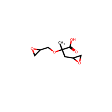 CC(CC1CO1)(OCC1CO1)C(=O)O